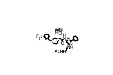 CC(=O)NCCNc1cc(NC(=O)CN2CCCN(Cc3cccc(C(F)(F)F)c3)CC2)nc(-c2ccccc2)n1.Cl.Cl.Cl